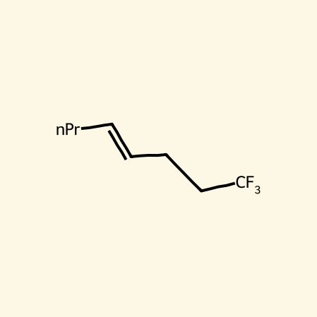 CCCC=CCCC(F)(F)F